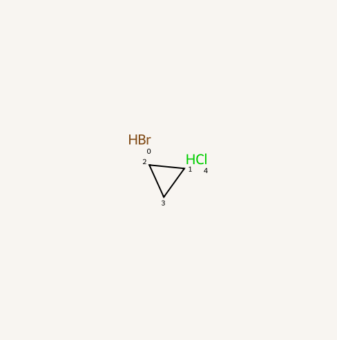 Br.C1CC1.Cl